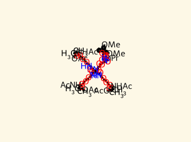 CCCn1c(=O)n(CCOC(=O)CCC(=O)NC(CCC(=O)CNCCOCCOCCOC2OC(COC(C)=O)C(C)C(C)C2NC(C)=O)(CCC(=O)NCCOCCOCCOC2OC(COC(C)=O)C(C)C(C)C2NC(C)=O)CC(=O)NCCOCCOCCOC2OC(COC(C)=O)C(C)C(C)C2NC(C)=O)c(=O)n(CCOC(c2ccccc2)(c2ccc(OC)cc2)c2ccc(OC)cc2)c1=O